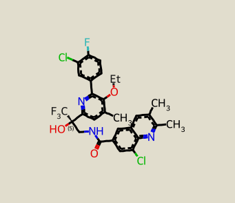 CCOc1c(C)cc([C@@](O)(CNC(=O)c2cc(Cl)c3nc(C)c(C)cc3c2)C(F)(F)F)nc1-c1ccc(F)c(Cl)c1